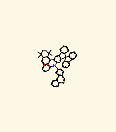 CC1(C)CCC(C)(C)c2c(-c3cc4c(cc3N(c3ccccc3)c3ccc5ccc6ccccc6c5c3)C3(c5ccccc5-c5ccccc53)c3ccccc3-4)cccc21